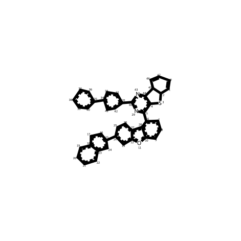 C1=CC2Sc3c(-c4cccc5oc6cc(-c7ccc8ccccc8c7)ccc6c45)nc(-c4ccc(-c5ccccc5)cc4)nc3C2C=C1